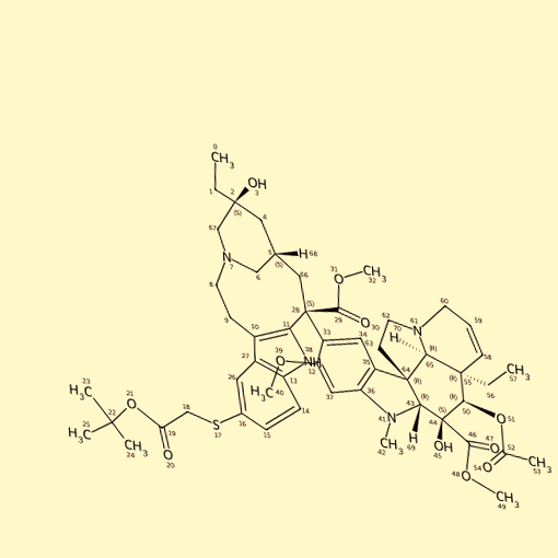 CC[C@]1(O)C[C@H]2CN(CCc3c([nH]c4ccc(SCC(=O)OC(C)(C)C)cc34)[C@@](C(=O)OC)(c3cc4c(cc3OC)N(C)[C@H]3[C@@](O)(C(=O)OC)[C@H](OC(C)=O)[C@]5(CC)C=CCN6CC[C@]43[C@@H]65)C2)C1